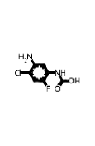 Nc1cc(NC(=O)O)c(F)cc1Cl